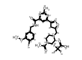 COc1cc(CNC(=O)c2cc(C3=NOC(CN4CCN(C(C)=O)CC4)C3)nc(C)n2)ccc1F.O=C(O)C(F)(F)F